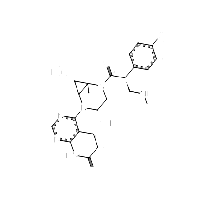 CC(C)NC[C@@H](C(=O)N1CCN(c2ncnc3c2[C@H](C)CC(=O)N3)C2[C@@H]1[C@H]2C)c1ccc(Cl)cc1